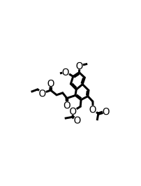 CCOC(=O)CCC(=O)c1c(COC(C)=O)c(COC(C)=O)cc2cc(OC)c(OC)cc12